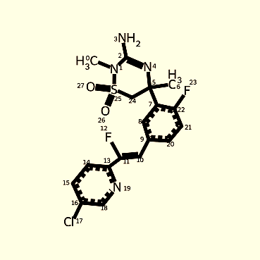 CN1C(N)=NC(C)(c2cc(C=C(F)c3ccc(Cl)cn3)ccc2F)CS1(=O)=O